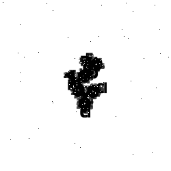 O=S(=O)(c1ccccc1C(F)(F)F)N1CCC(n2c(C3CC3)nc3ccc(C(c4ccc(Cl)cc4)c4ccc(Cl)cc4)cc32)CC1